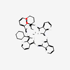 c1cnc2c(c1)C1=NC/2=N\c2c3cccnc3c3n2[Si](OCC2CCCCC2)(OCC2CCCCC2)n2/c(c4cccnc4/c2=N/1)=N\C1=NC(=N\3)/c2cccnc21